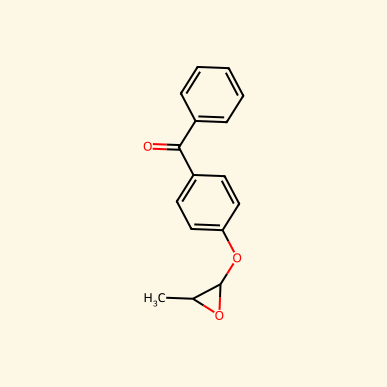 CC1OC1Oc1ccc(C(=O)c2ccccc2)cc1